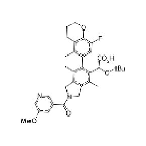 COc1cncc(C(=O)N2Cc3c(C)c(-c4cc(F)c5c(c4C)CCCO5)c([C@H](OC(C)(C)C)C(=O)O)c(C)c3C2)c1